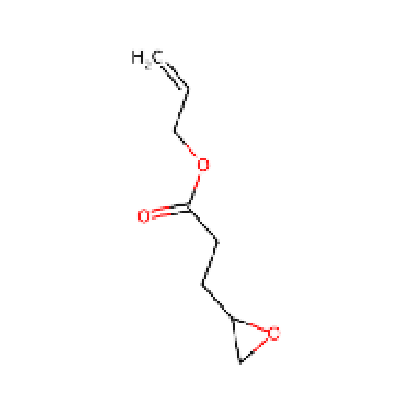 C=CCOC(=O)CCC1CO1